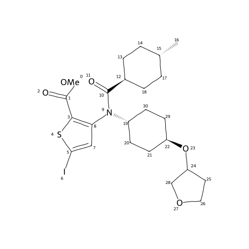 COC(=O)c1sc(I)cc1N(C(=O)[C@H]1CC[C@H](C)CC1)[C@H]1CC[C@H](OC2CCOC2)CC1